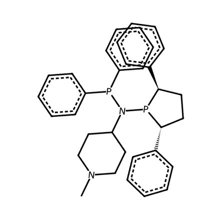 CN1CCC(N(P(c2ccccc2)c2ccccc2)P2[C@@H](c3ccccc3)CC[C@@H]2c2ccccc2)CC1